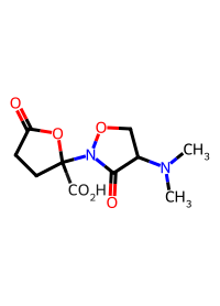 CN(C)C1CON(C2(C(=O)O)CCC(=O)O2)C1=O